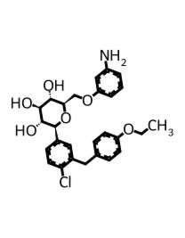 CCOc1ccc(Cc2cc([C@@H]3O[C@H](COc4cccc(N)c4)[C@@H](O)[C@H](O)[C@H]3O)ccc2Cl)cc1